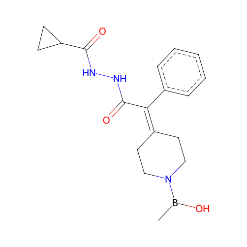 CB(O)N1CCC(=C(C(=O)NNC(=O)C2CC2)c2ccccc2)CC1